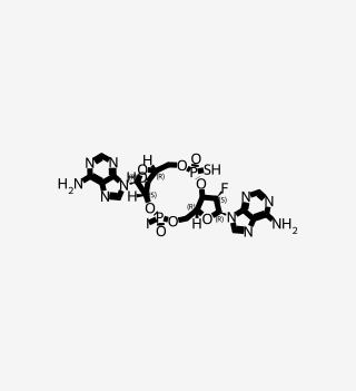 Nc1ncnc2c1ncn2[C@@H]1O[C@@H]2COP(=O)(I)O[C@H]3C(O)[C@@H](COP(=O)(S)OC2[C@@H]1F)O[C@H]3n1cnc2c(N)ncnc21